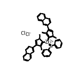 CC1=[C]([Zr+2]([C]2=C(C)C(c3ccc4ccccc4c3)=CC2C)=[Si](c2ccccc2)c2ccccc2)C(C)C=C1c1ccc2ccccc2c1.[Cl-].[Cl-]